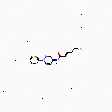 CCC/C=C/C(=O)/N=c1/ccn(-c2ccccc2)nc1